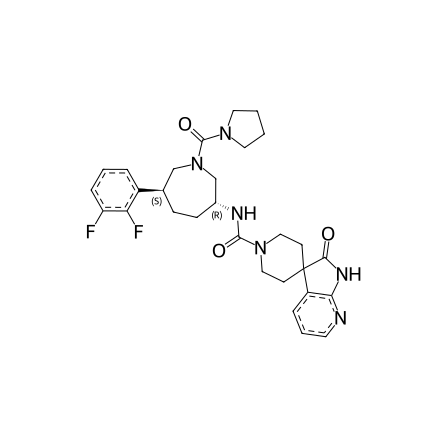 O=C(N[C@@H]1CC[C@@H](c2cccc(F)c2F)CN(C(=O)N2CCCC2)C1)N1CCC2(CC1)C(=O)Nc1ncccc12